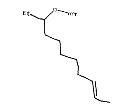 CC=CCCCCCC(CC)OCCC